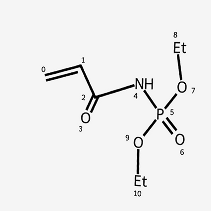 C=CC(=O)NP(=O)(OCC)OCC